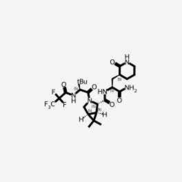 CC(C)(C)[C@H](NC(=O)C(F)(F)C(F)(F)F)C(=O)N1C[C@H]2[C@@H]([C@H]1C(=O)N[C@@H](C[C@@H]1CCCNC1=O)C(N)=O)C2(C)C